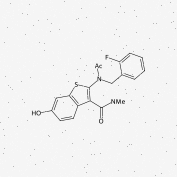 CNC(=O)c1c(N(Cc2ccccc2F)C(C)=O)sc2cc(O)ccc12